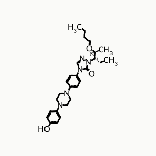 CCCCO[C@@H](C)[C@H](CC)n1ncn(-c2ccc(N3CCN(c4ccc(O)cc4)CC3)cc2)c1=O